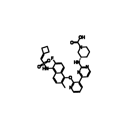 Cc1ccc2c(NS(=O)(=O)C=C3CCC3)c(F)ccc2c1Oc1ncccc1-c1ccnc(N[C@H]2CCCN(C(=O)O)C2)n1